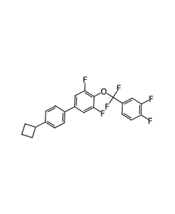 Fc1ccc(C(F)(F)Oc2c(F)cc(-c3ccc(C4CCC4)cc3)cc2F)cc1F